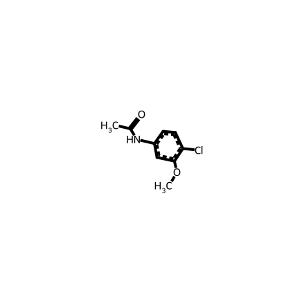 COc1cc(NC(C)=O)ccc1Cl